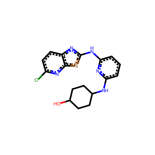 OC1CCC(Nc2cccc(Nc3nc4ccc(Cl)nc4s3)n2)CC1